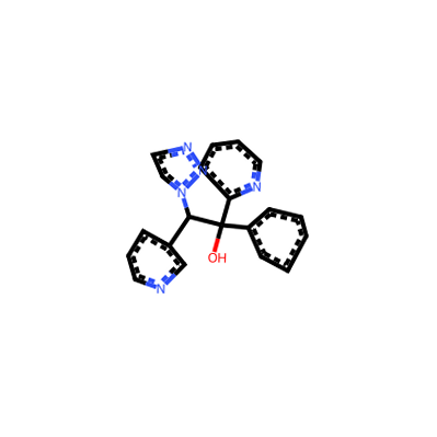 OC(c1ccccc1)(c1ccccn1)C(c1cccnc1)n1ccnn1